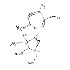 C=C1N=C(N)C(C)=CN1[C@@H]1O[C@H](COC)C(OC)[C@@]1(C)O